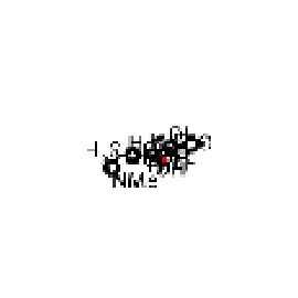 CNc1cccc([C@@H](C)c2ccc([C@H]3O[C@@H]4C[C@H]5[C@@H]6C[C@H](F)C7=CC(=O)C=C[C@]7(C)[C@@]6(F)[C@@H](O)C[C@]5(C)[C@]4(C(=O)CO)O3)cc2)c1